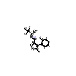 Cc1ccccc1-c1c(C)noc1/C=N/[S@@+]([O-])C(C)(C)C